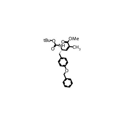 COC(=O)/C(C)=C\[C@H](Cc1ccc(OCc2ccccc2)cc1)NC(=O)OC(C)(C)C